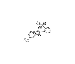 CCS(=O)(=O)c1ccccc1-c1cn2ccc(C(F)(F)F)cc2n1